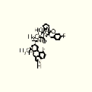 CN1C[C@H](C(=O)N[C@]2(C)O[C@@]3(O)[C@@H]4CCCN4C(=O)[C@H](Cc4ccc(F)cc4)N3C2=O)C=C2c3c(F)ccc4[nH]cc(c34)C[C@H]21